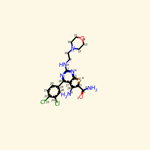 NC(=O)c1sc2nc(NCCN3CCOCC3)nc(-c3ccc(Cl)c(Cl)c3)c2c1N